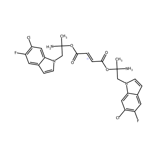 CC(N)(Cn1ccc2cc(F)c(Cl)cc21)OC(=O)/C=C/C(=O)OC(C)(N)Cn1ccc2cc(F)c(Cl)cc21